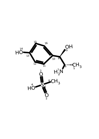 CS(=O)(=O)O.C[C@H](N)[C@H](O)c1ccc(O)cc1